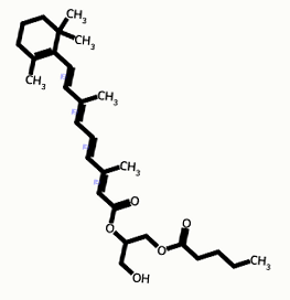 CCCCC(=O)OCC(CO)OC(=O)/C=C(C)/C=C/C=C(C)/C=C/C1=C(C)CCCC1(C)C